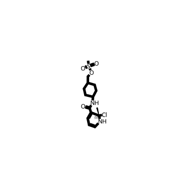 C[C@@]1(Cl)NC=CC=C1C(=O)NC1CCC(COS(C)(=O)=O)CC1